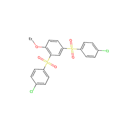 CCOc1ccc(S(=O)(=O)c2ccc(Cl)cc2)cc1S(=O)(=O)c1ccc(Cl)cc1